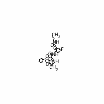 C=CCCNC(=O)COc1cc(F)ccc1CNC(=O)c1cn2c(c(OCc3ccccc3)c1=O)C(=O)N(C)CN2